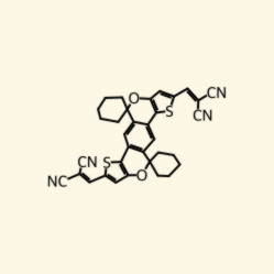 N#CC(C#N)=Cc1cc2c(s1)-c1cc3c(cc1C1(CCCCC1)O2)-c1sc(C=C(C#N)C#N)cc1OC31CCCCC1